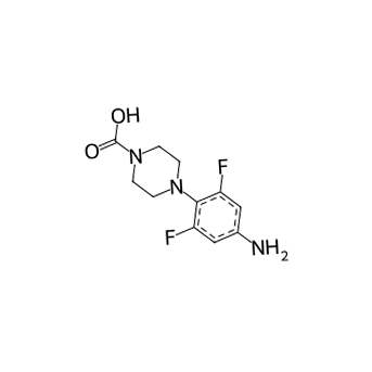 Nc1cc(F)c(N2CCN(C(=O)O)CC2)c(F)c1